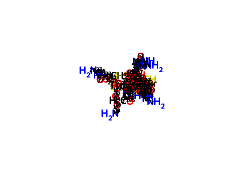 Cc1cn([C@H]2CC(OP(=S)(OCCOCCOCCN)OC[C@H]3O[C@@H](n4ccc(N)nc4=O)CC3C)[C@@H](COP(=O)(S)OC3C[C@H](n4cnc5c(=O)[nH]c(N)nc54)O[C@@H]3COP(=O)(S)OC3C[C@H](n4ccc(N)nc4=O)O[C@@H]3COP(=O)(S)OC3C[C@H](n4cc(Br)c(=O)[nH]c4=O)O[C@@H]3CO)O2)c(=O)[nH]c1=O